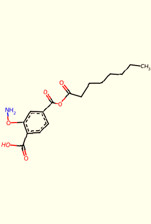 CCCCCCCC(=O)OC(=O)c1ccc(C(=O)O)c(ON)c1